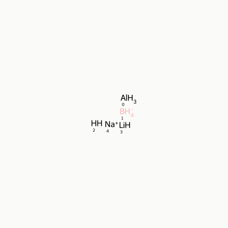 [AlH3].[BH4-].[HH].[LiH].[Na+]